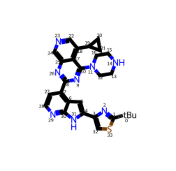 CC(C)(C)c1nc(-c2cc3c(-c4nc(N5CCNCC5)c5c(C6CC6)cncc5n4)ccnc3[nH]2)cs1